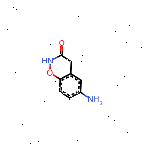 Nc1ccc2c(c1)CC(=O)NO2